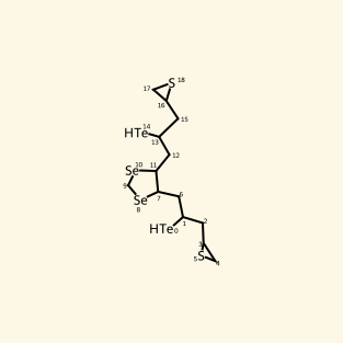 [TeH]C(CC1CS1)CC1[Se]C[Se]C1CC([TeH])CC1CS1